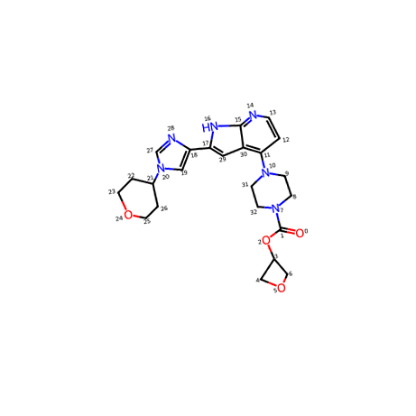 O=C(OC1COC1)N1CCN(c2ccnc3[nH]c(-c4cn(C5CCOCC5)cn4)cc23)CC1